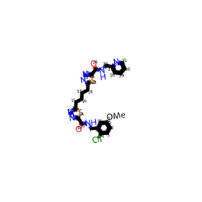 COc1ccc(Cl)c(CNC(=O)c2nnc(CCCCc3nnc(C(=O)NCc4ccccn4)s3)s2)c1